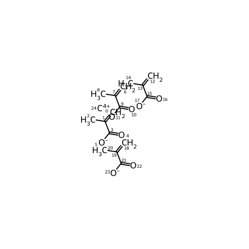 C=C(C)C(=O)[O-].C=C(C)C(=O)[O-].C=C(C)C(=O)[O-].C=C(C)C(=O)[O-].[C+4]